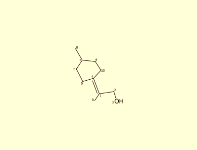 CC(CO)=C1CCC(C)CC1